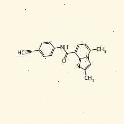 C#Cc1ccc(NC(=O)c2ccc(C)n3cc(C)nc23)cc1